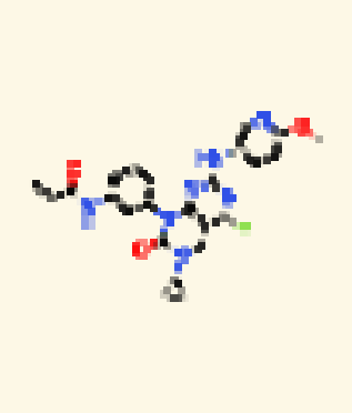 C=CC(=O)Nc1cccc(N2C(=O)N(C3CC3)Cc3c(F)nc(Nc4ccc(OC)nc4)nc32)c1